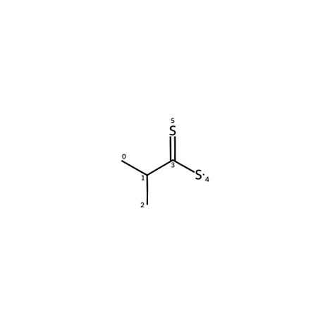 CC(C)C([S])=S